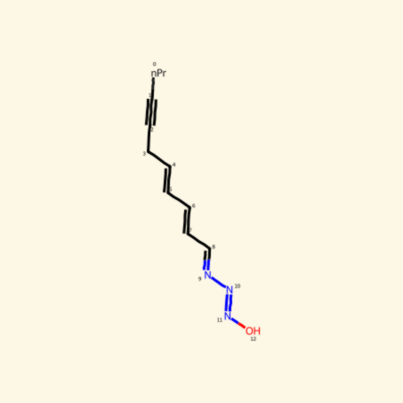 CCCC#CC/C=C/C=C/C=N/N=N/O